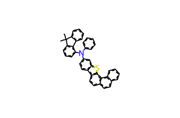 CC1(C)c2ccccc2-c2c(N(c3ccccc3)c3ccc4c(c3)sc3c4ccc4ccc5ccccc5c43)cccc21